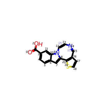 O=C(O)c1ccc2cc3n(c2c1)/C=C\N=C/c1ccsc1-3